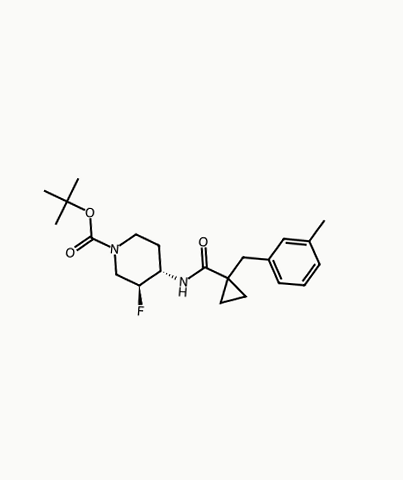 Cc1cccc(CC2(C(=O)N[C@H]3CCN(C(=O)OC(C)(C)C)C[C@@H]3F)CC2)c1